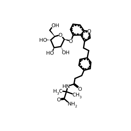 CC(C)(NC(=O)CCc1ccc(CCc2coc3cccc(O[C@@H]4O[C@H](CO)[C@@H](O)[C@H](O)[C@H]4O)c23)cc1)C(N)=O